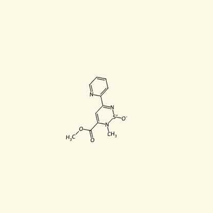 COC(=O)C1=CC(c2ccccn2)=N[S+]([O-])N1C